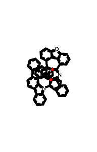 c1ccc(-c2nc(-c3cccc4oc5cccc(-c6ccccc6)c5c34)nc(-n3c4ccccc4c4ccc5c6ccccc6n(-c6ccccc6-c6ccccc6)c5c43)n2)cc1